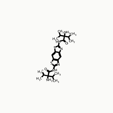 CC(C)C(N)(C(=O)Nc1nc2cc3nc(NC(=O)C(N)(C(C)C)C(C)C)sc3cc2s1)C(C)C